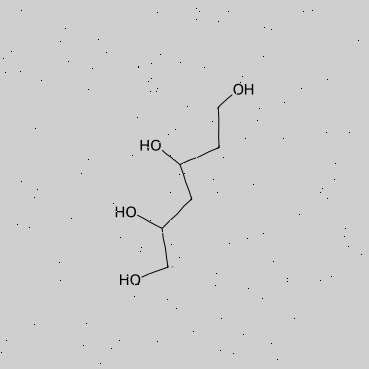 O[CH]C(O)CC(O)CCO